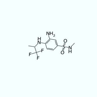 CNS(=O)(=O)c1ccc(NC(C)C(F)(F)F)c(N)c1